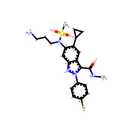 CNC(=O)c1c2cc(C3CC3)c(N(CCCN)S(C)(=O)=O)cc2nn1-c1ccc(Br)cc1